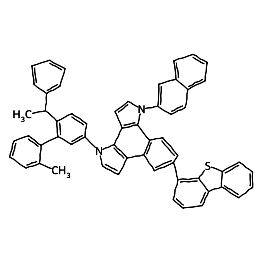 Cc1ccccc1-c1cc(-n2ccc3c4cc(-c5cccc6c5sc5ccccc56)ccc4c4c(ccn4-c4ccc5ccccc5c4)c32)ccc1C(C)c1ccccc1